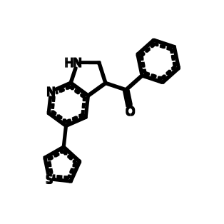 O=C(c1ccccc1)C1CNc2ncc(-c3ccsc3)cc21